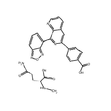 CN[C@H](CCC(N)=O)C(=O)O.O=C(O)c1ccc(-c2cc3cccnc3c(-c3cccc4nonc34)n2)cc1